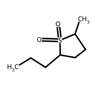 CCCC1CCC(C)S1(=O)=O